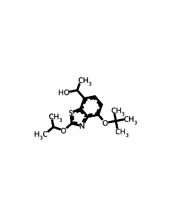 CC(C)Oc1nc2c(OC(C)(C)C)ccc(C(C)O)c2s1